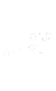 COc1cc(C(=O)c2cn(CCCC(=O)[O-])c3ccccc23)ccc1O[C@H](CCN1CCN(c2ccccc2OC)CC1)c1ccccc1.[K+]